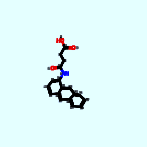 O=C(O)CCC(=O)Nc1cccc2cc3ccccc3cc12